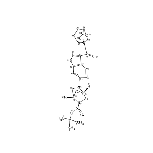 CC(C)(C)OC(=O)N1C[C@@H]2C[C@H]1CN2c1ccc2c(C(=O)N3CCN4CCC3CC4)nsc2c1